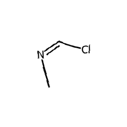 C/N=C\Cl